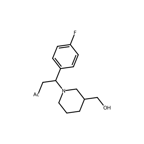 CC(=O)CC(c1ccc(F)cc1)N1CCCC(CO)C1